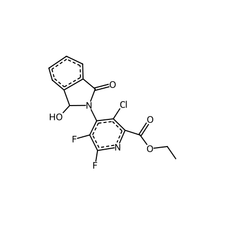 CCOC(=O)c1nc(F)c(F)c(N2C(=O)c3ccccc3C2O)c1Cl